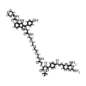 CC(C)(C)OC(=O)[C@H](CCC(=O)NCCOCCOCCOCCNC(=O)Cn1nc2c(c1-c1ccc(O)cc1)C(=O)c1c(NC(=O)NN3CCOCC3)cccc1-2)NC(=O)c1ccc(NCCc2cnc3nc(N)nc(N)c3n2)cc1